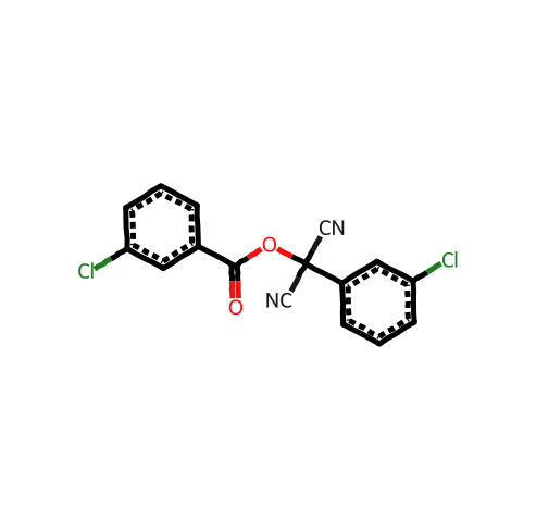 N#CC(C#N)(OC(=O)c1cccc(Cl)c1)c1cccc(Cl)c1